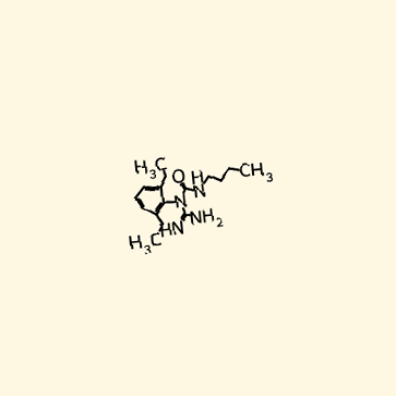 CCCCNC(=O)N(C(=N)N)c1c(CC)cccc1CC